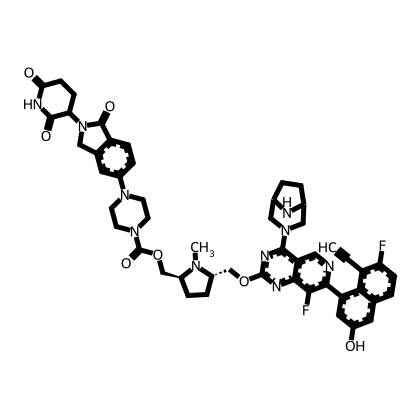 C#Cc1c(F)ccc2cc(O)cc(-c3ncc4c(N5CC6CCC(C5)N6)nc(OC[C@@H]5CC[C@@H](COC(=O)N6CCN(c7ccc8c(c7)CN(C7CCC(=O)NC7=O)C8=O)CC6)N5C)nc4c3F)c12